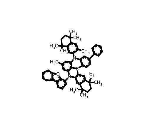 Cc1cc2c3c(c1)N(c1cccc4c1oc1ccccc14)c1cc4c(cc1B3c1ccc(-c3ccccc3)cc1N2c1cc2c(cc1C)C(C)(C)CCC2(C)C)C(C)(C)CCC4(C)C